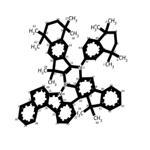 CC1(C)CCC(C)(C)c2cc(N3C4=C(B5c6c3cc3c(c6-c6cccc7c8c9ccccc9ccc8n5c67)C(C)(C)c5ccccc5-3)C(C)(C)c3cc5c(cc34)C(C)(C)CCC5(C)C)ccc21